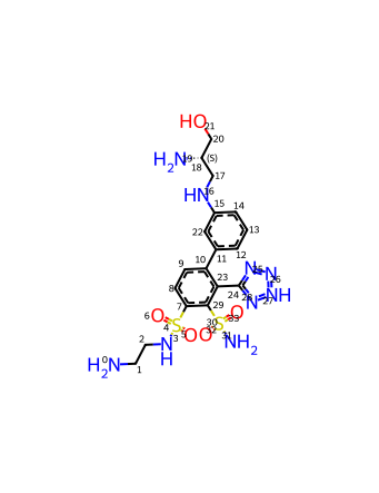 NCCNS(=O)(=O)c1ccc(-c2cccc(NC[C@H](N)CO)c2)c(-c2nn[nH]n2)c1S(N)(=O)=O